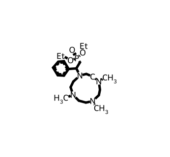 CCOP(=O)(CC(c1ccccc1)N1CCN(C)CCN(C)CCN(C)CC1)OCC